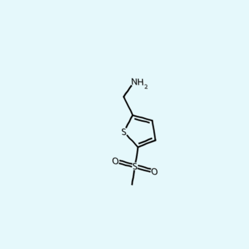 CS(=O)(=O)c1ccc(CN)s1